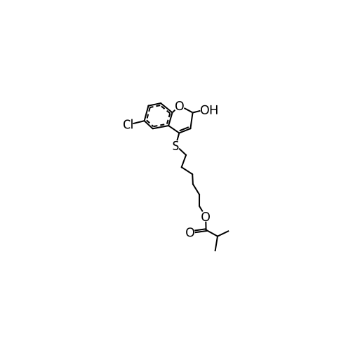 CC(C)C(=O)OCCCCCCSC1=CC(O)Oc2ccc(Cl)cc21